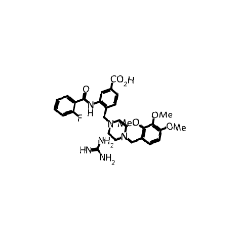 COc1ccc(CN2CCN(Cc3ccc(C(=O)O)cc3NC(=O)c3ccccc3F)CC2)c(OC)c1OC.N=C(N)N